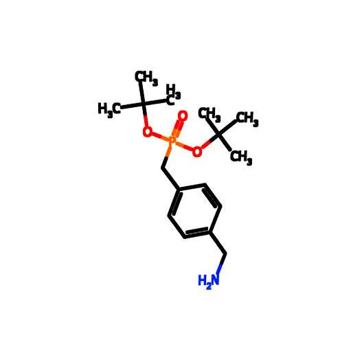 CC(C)(C)OP(=O)(Cc1ccc(CN)cc1)OC(C)(C)C